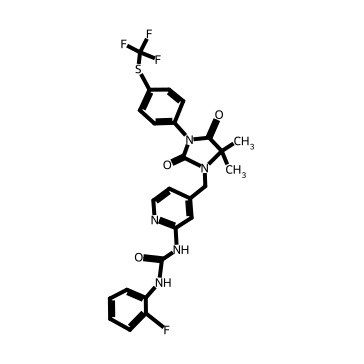 CC1(C)C(=O)N(c2ccc(SC(F)(F)F)cc2)C(=O)N1Cc1ccnc(NC(=O)Nc2ccccc2F)c1